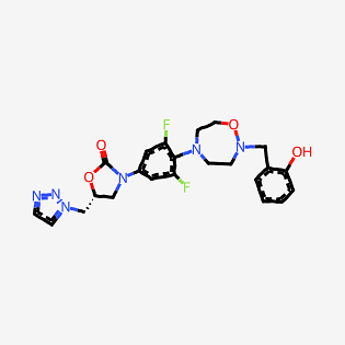 O=C1O[C@@H](Cn2ccnn2)CN1c1cc(F)c(N2CCON(Cc3ccccc3O)CC2)c(F)c1